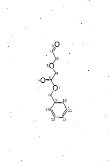 O=CCOCC(=O)OCc1ccccc1